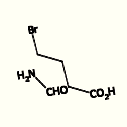 NC=O.O=C(O)CCCBr